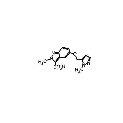 Cn1nccc1COc1ccc2nn(C)c(C(=O)O)c2c1